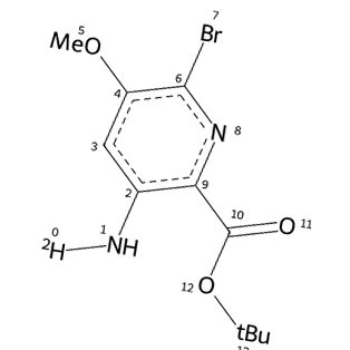 [2H]Nc1cc(OC)c(Br)nc1C(=O)OC(C)(C)C